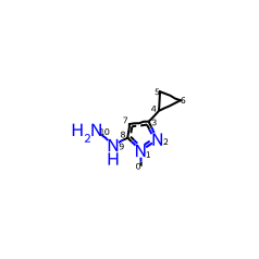 Cn1nc(C2CC2)cc1NN